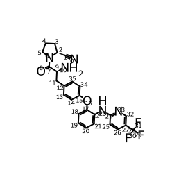 N#C[C@@H]1CCCN1C(=O)[C@@H](N)Cc1ccc(Oc2ccccc2Nc2ccc(C(F)(F)F)cn2)cc1